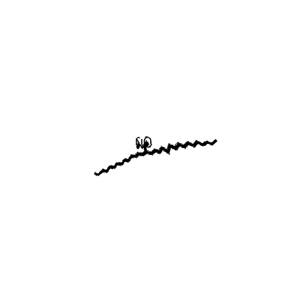 CCCCCCCCCCCCCCCCC(CCCCCCCCCCCCCC)C(=O)N(C)C